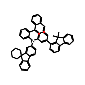 CC1(C)c2ccccc2-c2cccc(-c3cccc(N(c4ccc5c(c4)C4(CCCCC4)c4ccccc4-5)c4ccccc4-c4cccc5ccccc45)c3)c21